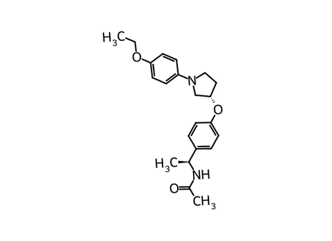 CCOc1ccc(N2CC[C@H](Oc3ccc([C@H](C)NC(C)=O)cc3)C2)cc1